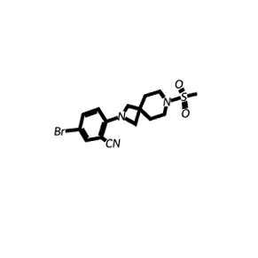 CS(=O)(=O)N1CCC2(CC1)CN(c1ccc(Br)cc1C#N)C2